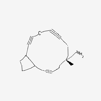 C[C@]1(N)CC#CCC#CC2CCC2C#CC1